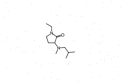 CCN1CCC(N(C)CC(C)C)C1=O